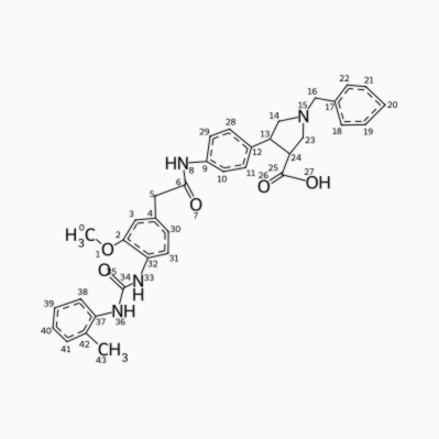 COc1cc(CC(=O)Nc2ccc(C3CN(Cc4ccccc4)CC3C(=O)O)cc2)ccc1NC(=O)Nc1ccccc1C